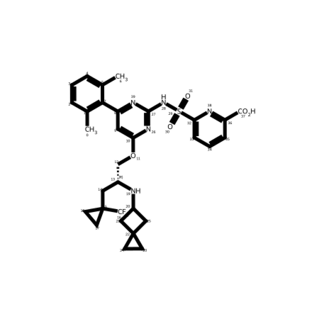 Cc1cccc(C)c1-c1cc(OC[C@@H](CC2(C(F)(F)F)CC2)NC2CC3(CC3)C2)nc(NS(=O)(=O)c2cccc(C(=O)O)n2)n1